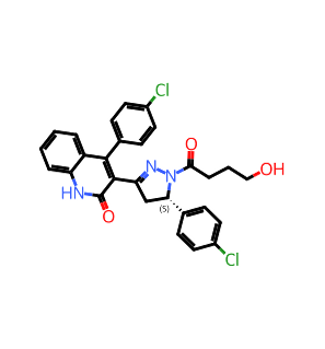 O=C(CCCO)N1N=C(c2c(-c3ccc(Cl)cc3)c3ccccc3[nH]c2=O)C[C@H]1c1ccc(Cl)cc1